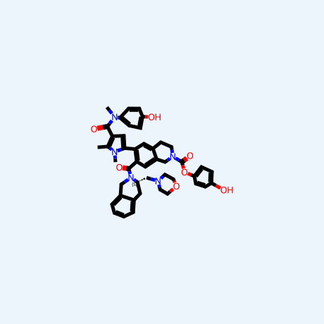 Cc1c(C(=O)N(C)c2ccc(O)cc2)cc(-c2cc3c(cc2C(=O)N2Cc4ccccc4C[C@H]2CN2CCOCC2)CN(C(=O)Oc2ccc(O)cc2)CC3)n1C